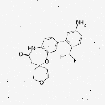 Nc1ccc(C(F)F)c(-c2ccc3c(c2)OC2(CCOCC2)CC(=O)N3)c1